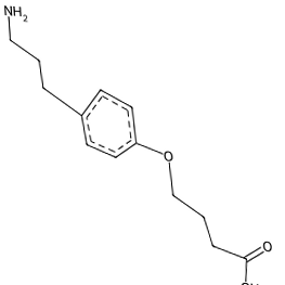 NCCCc1ccc(OCCCC(=O)O)cc1